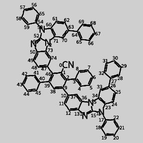 N#Cc1c(-c2ccccc2)c(-c2ccc3nc4n(-c5ccccc5)c5ccc(-c6ccccc6)cc5n4c3c2)cc(-c2ccccc2)c1-c1ccc2nc3n(-c4ccccc4)c4ccc(-c5ccccc5)cc4n3c2c1